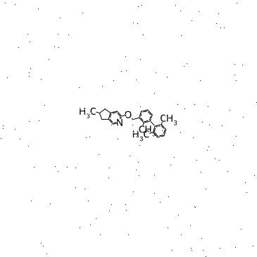 Cc1cccc(C)c1-c1cccc(COc2cc3c(cn2)CC(C)C3)c1C